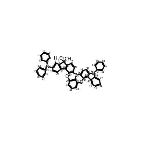 CC1(C)c2cc(N(c3ccccc3)c3ccccc3)ccc2-c2c1ccc1c2Oc2cccc3c2B1c1ccc2c(c1O3)c1ccccc1n2-c1ccccc1